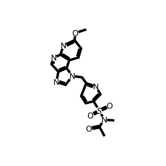 COc1ccc2c(ncc3ncn(Cc4ccc(S(=O)(=O)N(C)C(C)=O)cn4)c32)n1